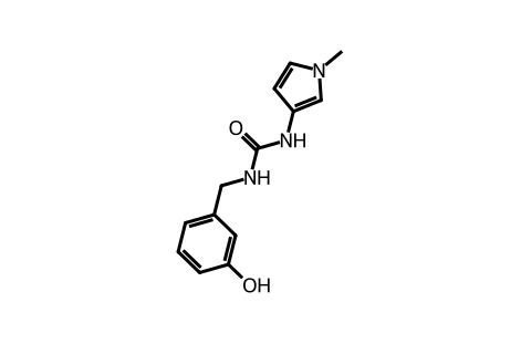 Cn1ccc(NC(=O)NCc2cccc(O)c2)c1